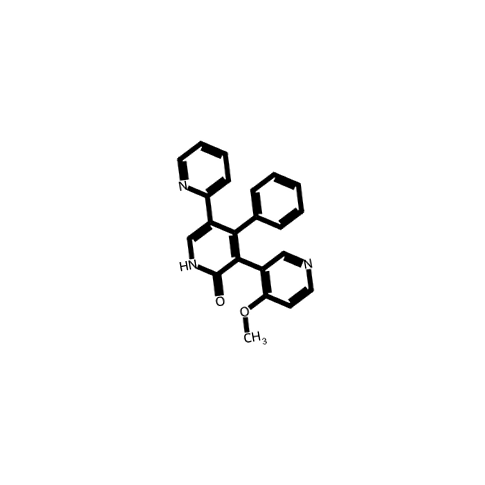 COc1ccncc1-c1c(-c2ccccc2)c(-c2ccccn2)c[nH]c1=O